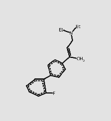 CCN(CC)CC=C(C)c1ccc(-c2ccccc2F)cc1